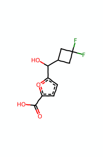 O=C(O)c1ccc(C(O)C2CC(F)(F)C2)o1